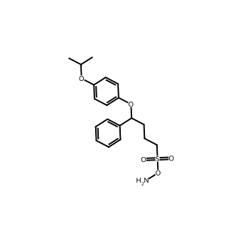 CC(C)Oc1ccc(OC(CCCS(=O)(=O)ON)c2ccccc2)cc1